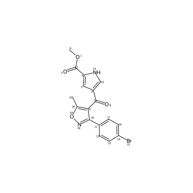 COC(=O)c1cc(C(=O)c2c(-c3ccc(Br)cc3)noc2C)c[nH]1